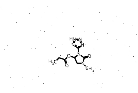 CCC(=O)OC1CN(C)C(=O)N1c1nn[nH]n1